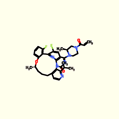 C=CC(=O)N1CCN(c2nc(=O)n3c4nc(c(F)cc24)-c2c(F)cccc2O[C@@H](C)CCCc2ccnc(C(C)C)c2-3)[C@@H](C)C1